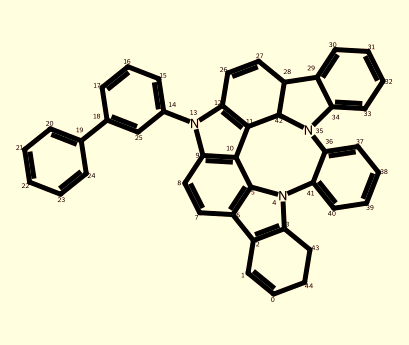 C1=Cc2c(n3c4c2ccc2c4c4c(n2-c2cccc(-c5ccccc5)c2)C=CC2c5ccccc5N(c5ccccc5-3)C42)CC1